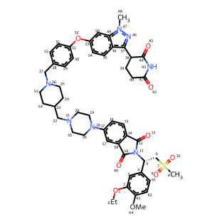 CCOc1cc([C@@H](CS(C)(=O)=O)N2C(=O)c3ccc(N4CCN(CC5CCN(Cc6ccc(Oc7ccc8c(C9CCC(=O)NC9=O)nn(C)c8c7)cc6)CC5)CC4)cc3C2=O)ccc1OC